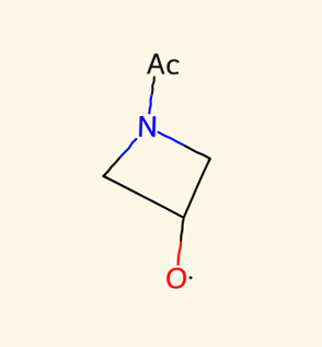 CC(=O)N1CC([O])C1